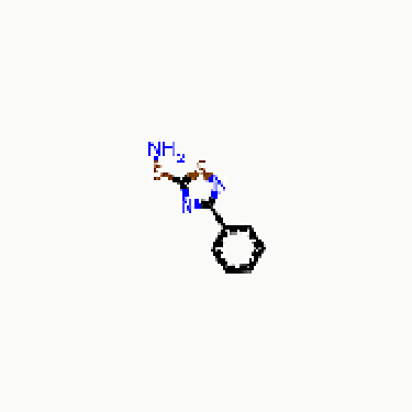 NSc1nc(-c2ccccc2)ns1